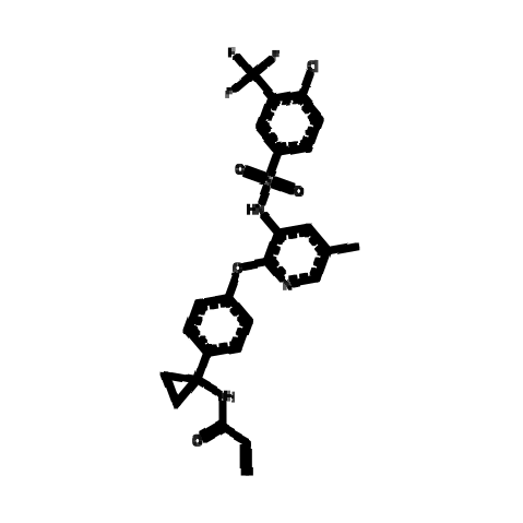 C=CC(=O)NC1(c2ccc(Oc3ncc(C)cc3NS(=O)(=O)c3ccc(Cl)c(C(F)(F)F)c3)cc2)CC1